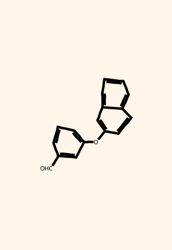 O=Cc1cccc(Oc2ccc3ccccc3c2)c1